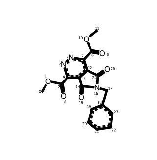 COC(=O)c1nnc(C(=O)OC)c2c1C(=O)N(Cc1ccccc1)C2=O